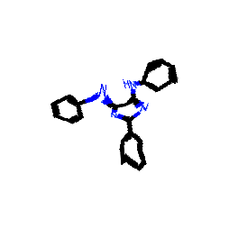 c1ccc(/N=C2\N=C(c3ccccc3)N=C2Nc2ccccc2)cc1